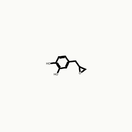 Oc1ccc(CC2CO2)cc1O